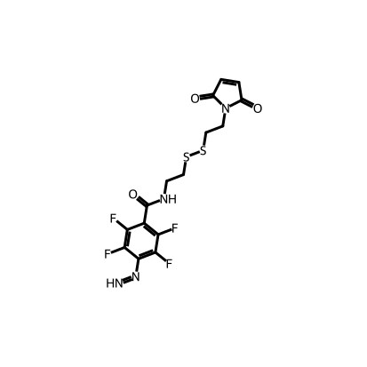 N=Nc1c(F)c(F)c(C(=O)NCCSSCCN2C(=O)C=CC2=O)c(F)c1F